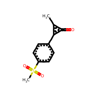 Cc1c(-c2ccc(S(C)(=O)=O)cc2)c1=O